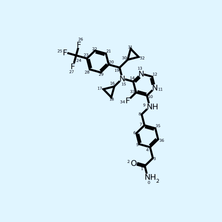 NC(=O)Cc1ccc(CNc2ncnc(N(C3CC3)C(c3ccc(C(F)(F)F)cc3)C3CC3)c2F)cc1